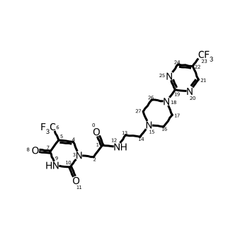 O=C(Cn1cc(C(F)(F)F)c(=O)[nH]c1=O)NCCN1CCN(c2ncc(C(F)(F)F)cn2)CC1